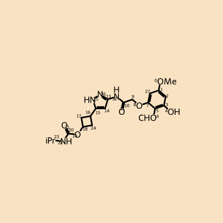 COc1cc(O)c(C=O)c(OCC(=O)Nc2cc(C3CC(OC(=O)NC(C)C)C3)[nH]n2)c1